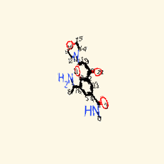 CNC(=O)c1cc(C(C)N)c2oc(N3CCOCC3)cc(=O)c2c1